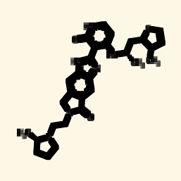 CC1C=CSC1C[C@H](C)Nc1cc[nH]c(=O)c1-c1nc2cc3c(cc2[nH]1)CN(CCN1CCC[C@H]1C)C3=O